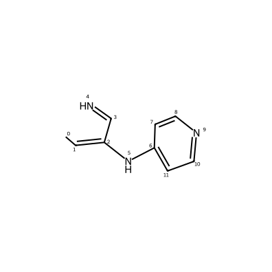 C/C=C(\C=N)Nc1ccncc1